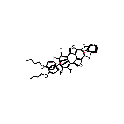 CCCCOc1ccc(-c2ccc(-c3csc(C4Sc5ccccc5S4)c3-c3c(-c4ccc(-c5ccc(OCCCC)cc5)c(F)c4F)csc3C3Sc4ccccc4S3)c(F)c2F)cc1